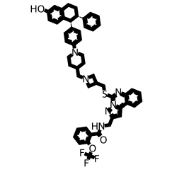 O=C(NCc1cc2c3ccccc3nc(SCC3CN(CC4CCN(c5ccc([C@@H]6c7ccc(O)cc7CC[C@@H]6c6ccccc6)cc5)CC4)C3)n2n1)c1ccccc1OC(F)(F)F